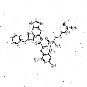 Cc1cc(O)cc(C)c1CC(NC(=O)C(N)CCCNC(=N)N)C(=O)NC(Cc1c[nH]cn1)c1nc(Cc2ccccc2)no1